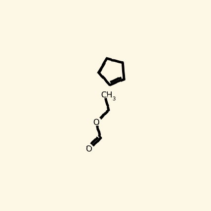 C1=CCCC1.CCOC=O